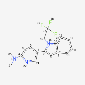 CN(C)c1ccc(-c2cc3ccccc3n2CC(F)(F)F)cn1